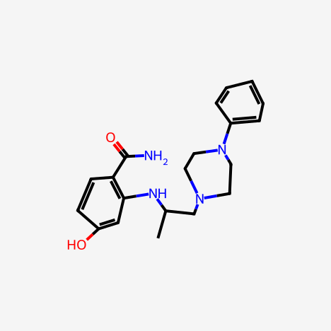 CC(CN1CCN(c2ccccc2)CC1)Nc1cc(O)ccc1C(N)=O